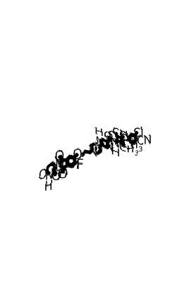 CC1(C)C(NC(=O)c2cnc(N3CCN(CCCOc4cc5c(cc4F)C(=O)N(C4CCC(=O)NC4=O)C5=O)CC3)cn2)C(C)(C)C1Oc1ccc(C#N)c(Cl)c1